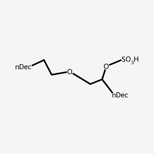 CCCCCCCCCCCCOCC(CCCCCCCCCC)OS(=O)(=O)O